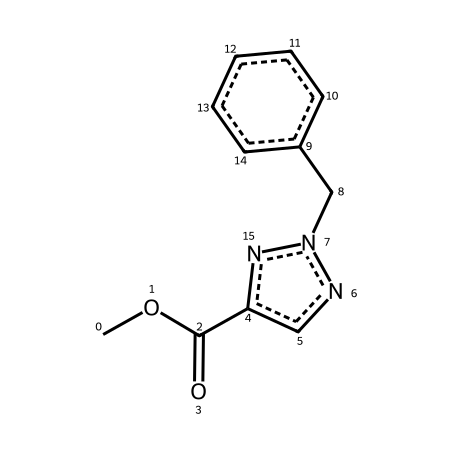 COC(=O)c1cnn(Cc2ccccc2)n1